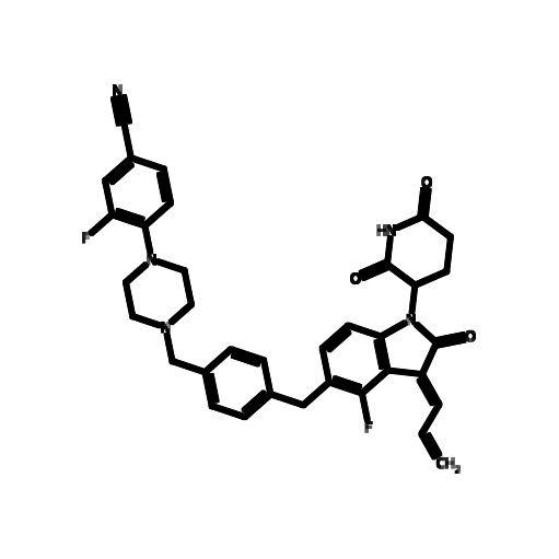 C=C/C=C1/C(=O)N(C2CCC(=O)NC2=O)c2ccc(Cc3ccc(CN4CCN(c5ccc(C#N)cc5F)CC4)cc3)c(F)c21